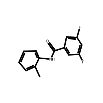 Cc1ccccc1NC(=O)c1cc(F)cc(F)c1